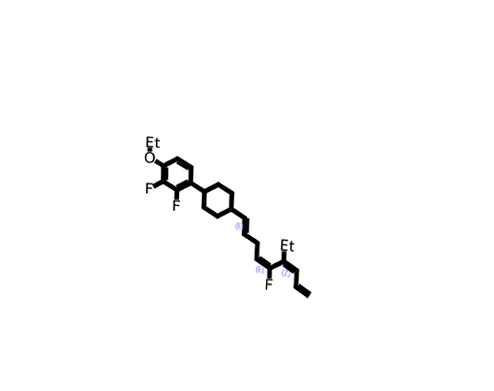 C=C/C=C(CC)\C(F)=C/C/C=C/C1CCC(c2ccc(OCC)c(F)c2F)CC1